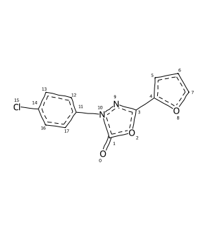 O=c1oc(-c2ccco2)nn1-c1ccc(Cl)cc1